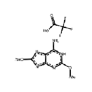 CCCCOc1nc2nc(OC)nc-2c(N)[nH]1.O=C(O)C(F)(F)F